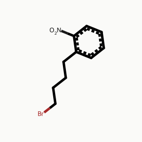 O=[N+]([O-])c1ccccc1CCCCBr